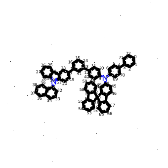 c1ccc(-c2ccc(N(c3ccc(-c4cccc(-c5ccc6c(c5)c5ccccc5n6-c5cccc6ccccc56)c4)cc3)c3ccc4c(c3)C3(c5ccccc5-c5ccccc53)c3ccccc3-4)cc2)cc1